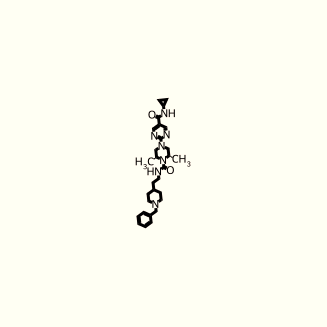 C[C@@H]1CN(c2ncc(C(=O)NC3CC3)cn2)C[C@H](C)N1C(=O)NCCC1CCN(Cc2ccccc2)CC1